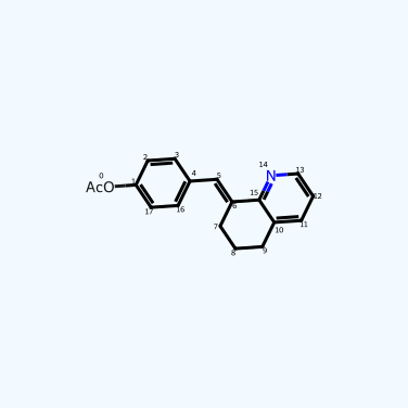 CC(=O)Oc1ccc(C=C2CCCc3cccnc32)cc1